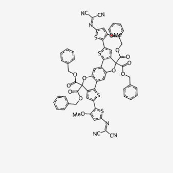 COc1cc(N=C(C#N)C#N)sc1-c1cc2c(s1)-c1cc3c(cc1OC2(C(=O)OCc1ccccc1)C(=O)OCc1ccccc1)-c1sc(-c2sc(N=C(C#N)C#N)cc2OC)cc1C(C(=O)OCc1ccccc1)(C(=O)OCc1ccccc1)O3